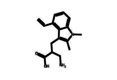 C=Cc1cccc2c1c(CC(CN)C(=O)O)c(C)n2C